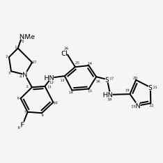 CNC1CCN(c2cc(F)ccc2Nc2ccc(SNc3cscn3)cc2Cl)C1